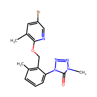 Cc1cc(Br)cnc1OCc1c(C)cccc1-n1nnn(C)c1=O